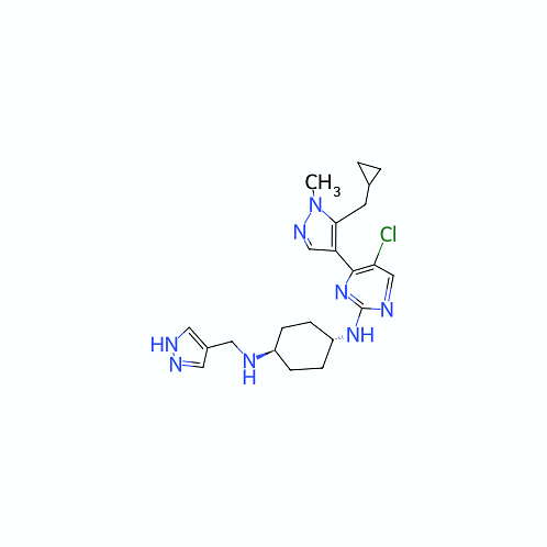 Cn1ncc(-c2nc(N[C@H]3CC[C@H](NCc4cn[nH]c4)CC3)ncc2Cl)c1CC1CC1